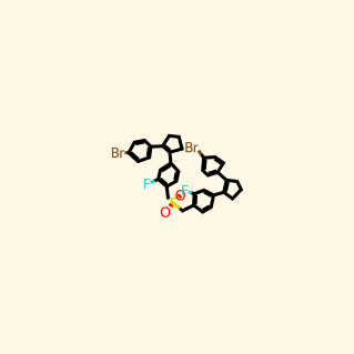 O=S(=O)(Cc1ccc(C2=C(c3ccc(Br)cc3)CCC2)cc1F)Cc1ccc(C2=C(c3ccc(Br)cc3)CCC2)cc1F